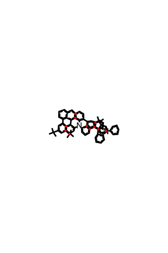 CC(C)(C)c1cc(-c2cccc3cccc(-c4ccccc4N(c4cccc(-c5cccc6c5c5ccccc5n6-c5ccccc5)c4)c4ccccc4-c4ccc5c(c4)C(C)(C)c4ccccc4-5)c23)cc(C(C)(C)C)c1